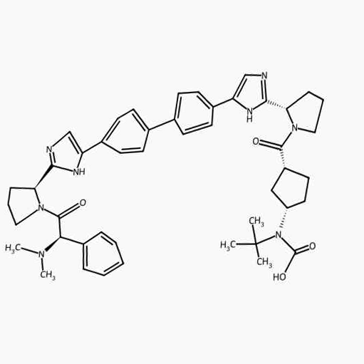 CN(C)[C@@H](C(=O)N1CCC[C@H]1c1ncc(-c2ccc(-c3ccc(-c4cnc([C@@H]5CCCN5C(=O)[C@@H]5CC[C@H](N(C(=O)O)C(C)(C)C)C5)[nH]4)cc3)cc2)[nH]1)c1ccccc1